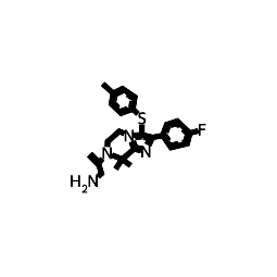 C=C(CN)N1CCn2c(nc(-c3ccc(F)cc3)c2Sc2ccc(C)cc2)C1(C)C